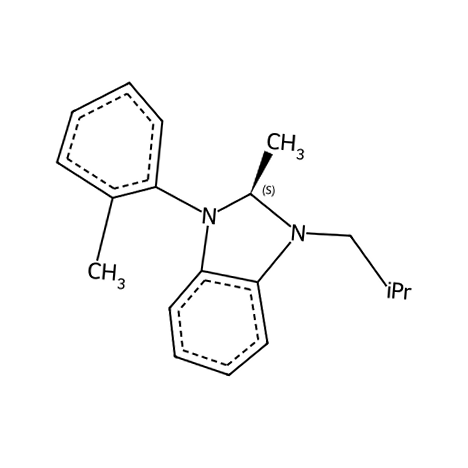 Cc1ccccc1N1c2ccccc2N(CC(C)C)[C@@H]1C